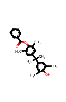 Cc1cc(C(C)(C)c2cc(C)c(OC(=O)c3ccccc3)c(C)c2)cc(C)c1O